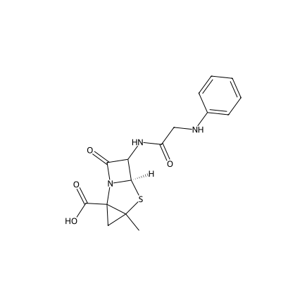 CC12CC1(C(=O)O)N1C(=O)C(NC(=O)CNc3ccccc3)[C@H]1S2